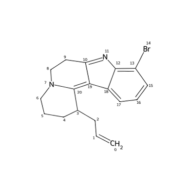 C=CCC1CCCN2CCC3=Nc4c(Br)cccc4C3=C12